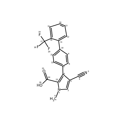 Cn1cc(C#N)c(-c2ccc(-c3ccccc3C(F)(F)F)cc2)c1C(=O)O